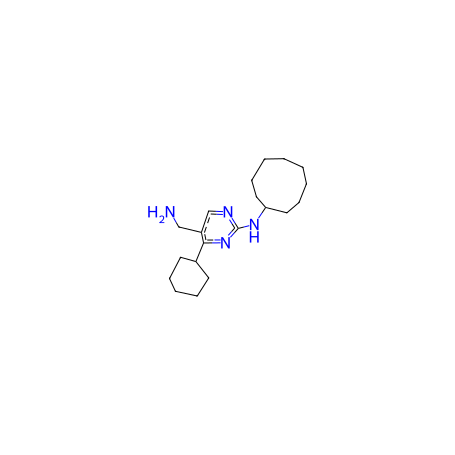 NCc1cnc(NC2CCCCCCCC2)nc1C1CCCCC1